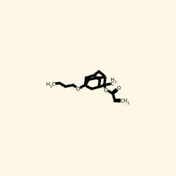 C=CC(=O)OC1(C)C2CC3CC1CC(OCCCC)(C3)C2